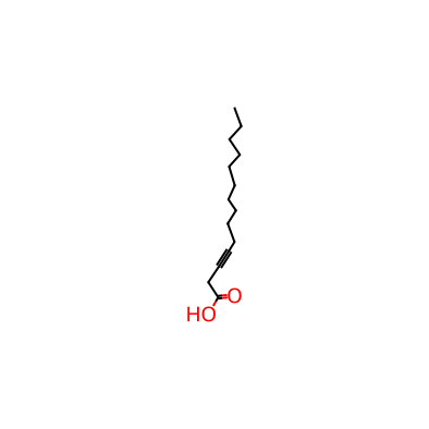 CCCCCCCCCCC#CCC(=O)O